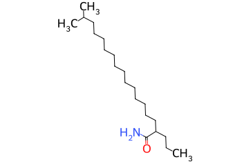 CCCC(CCCCCCCCCCCCCC(C)C)C(N)=O